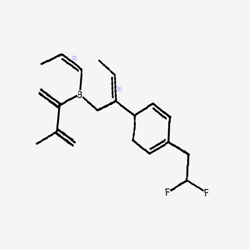 C=C(C)C(=C)B(/C=C\C)C/C(=C\C)C1C=CC(CC(F)F)=CC1